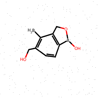 Bc1c(CO)ccc2c1COB2O